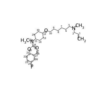 C=CCN(C)CCCCCCOC1CCC(N(C)C(=O)Oc2ccc(F)cc2F)CC1